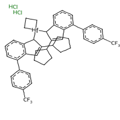 Cl.Cl.FC(F)(F)c1ccc(-c2cccc3c2C=C(C2CCCC2)[CH]3[Hf]2([CH]3C(C4CCCC4)=Cc4c(-c5ccc(C(F)(F)F)cc5)cccc43)[CH2]C[CH2]2)cc1